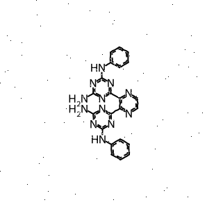 Nc1nc(Nc2ccccc2)nc(-c2nccnc2-c2nc(N)nc(Nc3ccccc3)n2)n1